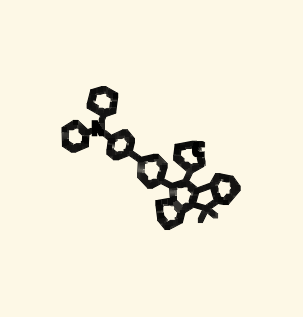 CC1(C)c2ccccc2-c2c(-c3ccccc3)c(-c3ccc(-c4ccc(N(c5ccccc5)c5ccccc5)cc4)cc3)c3ccccc3c21